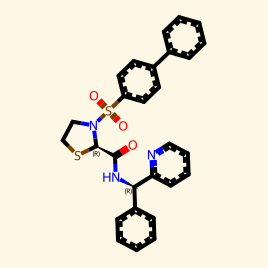 O=C(N[C@H](c1ccccc1)c1ccccn1)[C@H]1SCCN1S(=O)(=O)c1ccc(-c2ccccc2)cc1